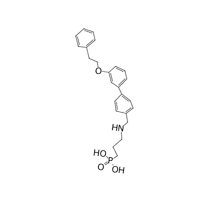 O=P(O)(O)CCCNCc1ccc(-c2cccc(OCCc3ccccc3)c2)cc1